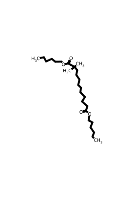 CCCCCCOC(=O)CCCCCCCCCC(C)(C)C(=O)OCCCCCC